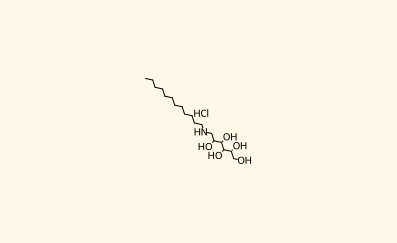 CCCCCCCCCCCCNC[C@H](O)[C@@H](O)[C@H](O)[C@H](O)CO.Cl